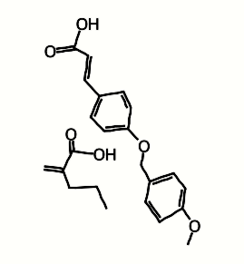 C=C(CCC)C(=O)O.COc1ccc(COc2ccc(C=CC(=O)O)cc2)cc1